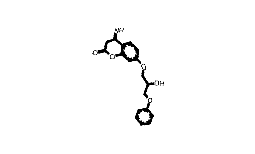 N=C1CC(=O)Oc2cc(OCC(O)COc3ccccc3)ccc21